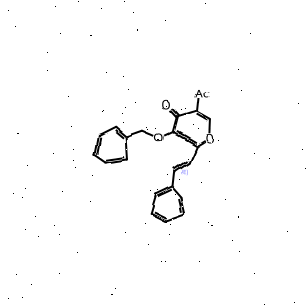 CC(=O)c1coc(/C=C/c2ccccc2)c(OCc2ccccc2)c1=O